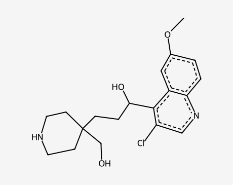 COc1ccc2ncc(Cl)c(C(O)CCC3(CO)CCNCC3)c2c1